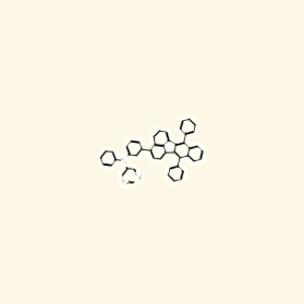 c1ccc(-c2c3c(c(-c4ccccc4)c4ccccc24)-c2ccc(-c4cccc(N(c5ccccc5)c5cncnc5)c4)c4cccc-3c24)cc1